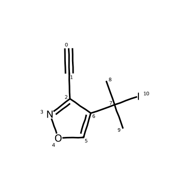 C#Cc1nocc1C(C)(C)I